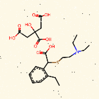 CCc1ccccc1C(SCCN(CC)CC)C(=O)O.O=C(O)CC(O)(CC(=O)O)C(=O)O